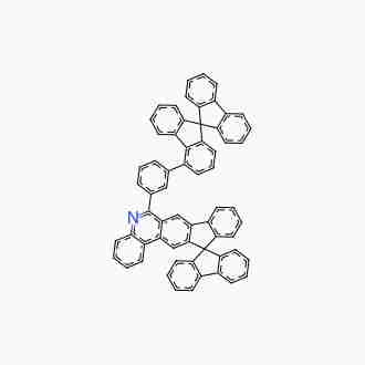 c1cc(-c2cccc3c2-c2ccccc2C32c3ccccc3-c3ccccc32)cc(-c2nc3ccccc3c3cc4c(cc23)-c2ccccc2C42c3ccccc3-c3ccccc32)c1